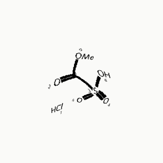 COC(=O)S(=O)(=O)O.Cl